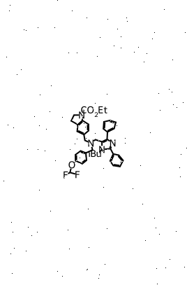 CCCCn1c(-c2ccccc2)nc(-c2ccccc2)c1CN(Cc1ccc(OC(F)F)cc1)Cc1ccc2c(c1)CCN2C(=O)OCC